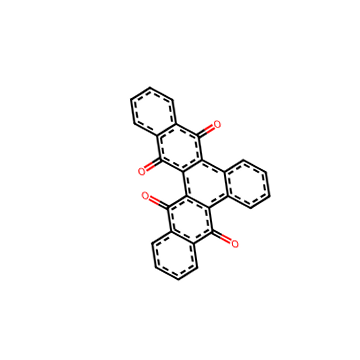 O=c1c2ccccc2c(=O)c2c1c1ccccc1c1c(=O)c3ccccc3c(=O)c12